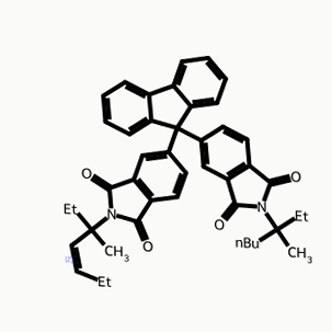 CC/C=C\C(C)(CC)N1C(=O)c2ccc(C3(c4ccc5c(c4)C(=O)N(C(C)(CC)CCCC)C5=O)c4ccccc4-c4ccccc43)cc2C1=O